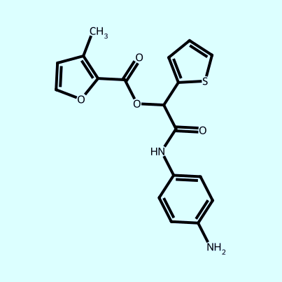 Cc1ccoc1C(=O)OC(C(=O)Nc1ccc(N)cc1)c1cccs1